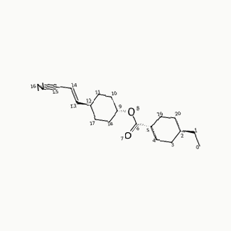 CC[C@H]1CC[C@H](C(=O)O[C@H]2CC[C@H](C=CC#N)CC2)CC1